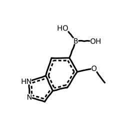 COc1cc2cn[nH]c2cc1B(O)O